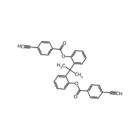 C#Cc1ccc(C(=O)Oc2ccccc2C(C)(C)c2ccccc2OC(=O)c2ccc(C#C)cc2)cc1